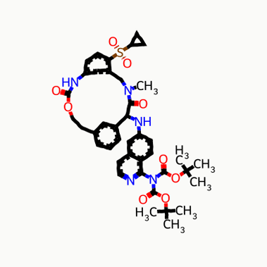 CN1Cc2cc(ccc2S(=O)(=O)C2CC2)NC(=O)OCCc2cccc(c2)C(Nc2ccc3c(N(C(=O)OC(C)(C)C)C(=O)OC(C)(C)C)nccc3c2)C1=O